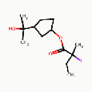 CCC(C)(I)C(=O)OC1CCC(C(C)(C)O)C1